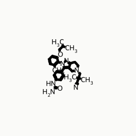 Cc1cccc(OCC(C)C)c1-n1nc2c(c1-c1ccc(NC(N)=O)cc1)CN(CC(C)(C)C#N)CC2